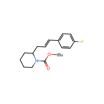 CC(C)(C)OC(=O)N1CCCCC1CC=Cc1ccc(F)cc1